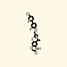 C=C(c1cc2c(cc1F)OCC(=O)N2)N1CC(COc2ccc(C3C=CC(Cl)=CN3C)cc2F)C1